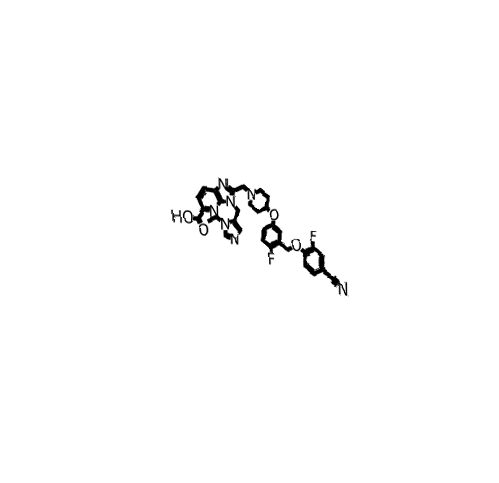 CCn1cncc1Cn1c(CN2CCC(Oc3ccc(F)c(COc4ccc(C#N)cc4F)c3)CC2)nc2ccc(C(=O)O)nc21